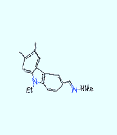 CCn1c2ccc(/C=N/NC)cc2c2cc(C)c(C)cc21